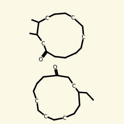 CC1CCCCCCCCCCC(=O)CC1C.CCC1CCCCCCCCCCC(=O)CC1